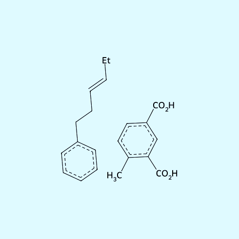 CCC=CCCc1ccccc1.Cc1ccc(C(=O)O)cc1C(=O)O